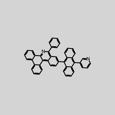 c1ccc(-c2nc3c4ccccc4c4ccccc4c3c3ccc(-c4c5ccccc5c(-c5cccnc5)c5ccccc45)cc23)cc1